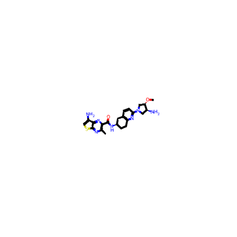 CO[C@H]1CN(c2ccc3c(n2)CC[C@@H](NC(=O)c2nc4c(N)csc4nc2C)C3)C[C@@H]1N